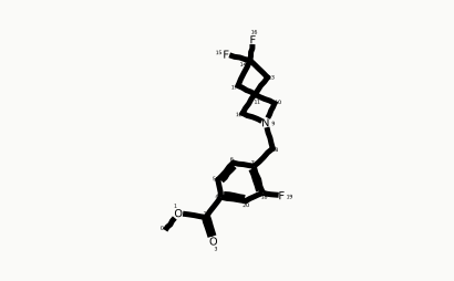 COC(=O)c1ccc(CN2CC3(C2)CC(F)(F)C3)c(F)c1